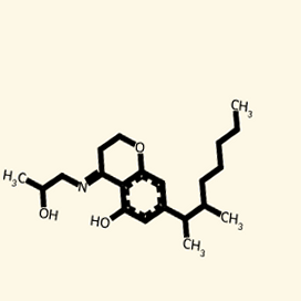 CCCCCC(C)C(C)c1cc(O)c2c(c1)OCCC2=NCC(C)O